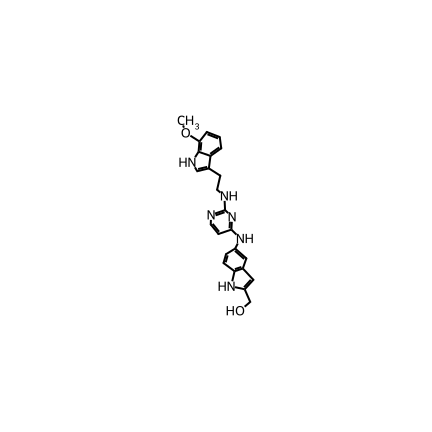 COc1cccc2c(CCNc3nccc(Nc4ccc5[nH]c(CO)cc5c4)n3)c[nH]c12